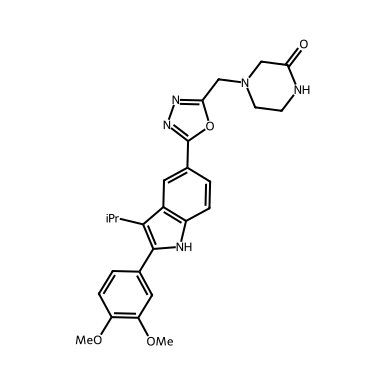 COc1ccc(-c2[nH]c3ccc(-c4nnc(CN5CCNC(=O)C5)o4)cc3c2C(C)C)cc1OC